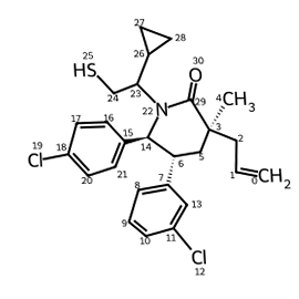 C=CC[C@@]1(C)C[C@H](c2cccc(Cl)c2)[C@@H](c2ccc(Cl)cc2)N(C(CS)C2CC2)C1=O